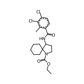 CCOC(=O)N1CCC(NC(=O)c2ccc(Cl)c(Cl)c2C)C12CCCCC2